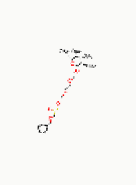 CC(=O)NC1[C@H](OCCOCCOCCOC[S@@+]([O-])COCc2ccccc2)O[C@H](COC(C)=O)[C@H](OC(C)=O)[C@@H]1OC(C)=O